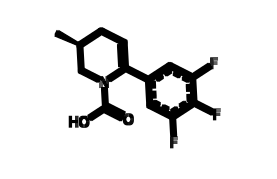 C[C@H]1CC=C(c2cc(F)c(F)c(F)c2)N(C(=O)O)C1